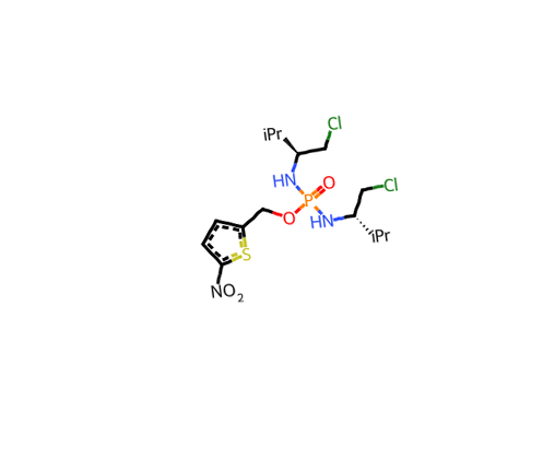 CC(C)[C@@H](CCl)NP(=O)(N[C@H](CCl)C(C)C)OCc1ccc([N+](=O)[O-])s1